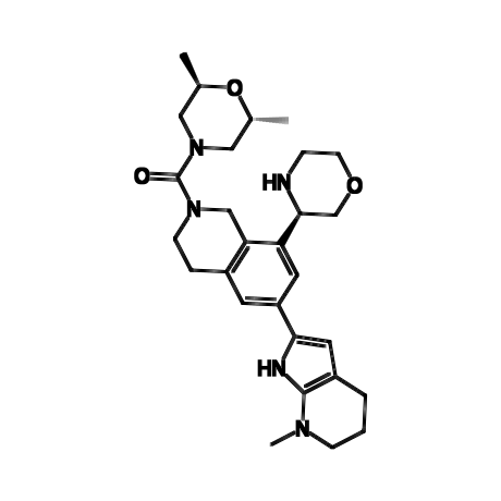 C[C@@H]1CN(C(=O)N2CCc3cc(-c4cc5c([nH]4)N(C)CCC5)cc([C@@H]4COCCN4)c3C2)C[C@@H](C)O1